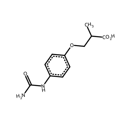 CC(COc1ccc(NC(N)=O)cc1)C(=O)O